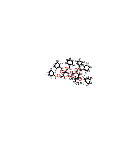 CS[C@H]1OC(COCc2ccccc2)[C@@H](OCc2ccccc2)[C@@H](OCc2ccccc2)C1O[C@H]1OC(COC(C)=O)[C@@H](OCc2ccccc2)[C@@H](OCc2ccccc2)C1OCc1ccccc1